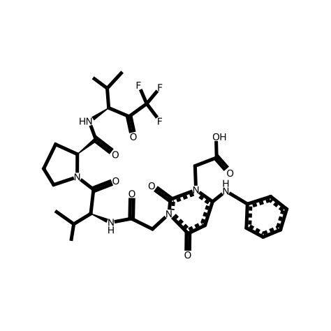 CC(C)[C@H](NC(=O)Cn1c(=O)cc(Nc2ccccc2)n(CC(=O)O)c1=O)C(=O)N1CCC[C@H]1C(=O)N[C@H](C(=O)C(F)(F)F)C(C)C